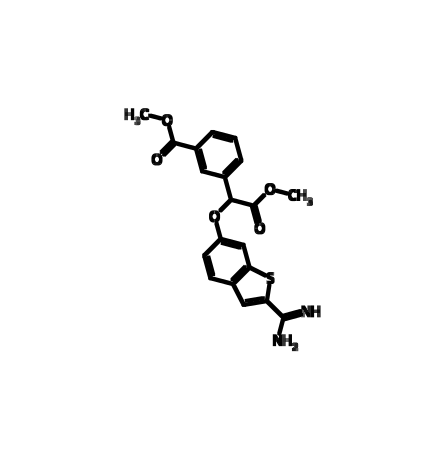 COC(=O)c1cccc(C(Oc2ccc3cc(C(=N)N)sc3c2)C(=O)OC)c1